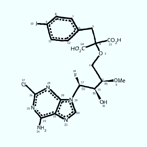 CO[C@H](COC(Cc1ccc(I)cc1)(C(=O)O)C(=O)O)[C@@H](O)[C@H](F)n1cnc2c(N)nc(Cl)nc21